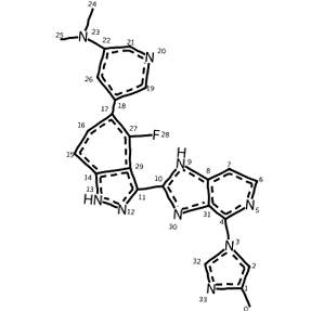 Cc1cn(-c2nccc3[nH]c(-c4n[nH]c5ccc(-c6cncc(N(C)C)c6)c(F)c45)nc23)cn1